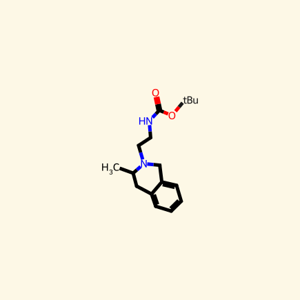 CC1Cc2ccccc2CN1CCNC(=O)OC(C)(C)C